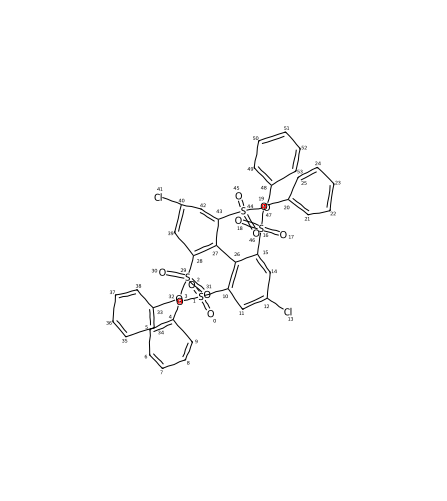 O=S(=O)(Oc1ccccc1)c1cc(Cl)cc(S(=O)(=O)Oc2ccccc2)c1-c1c(S(=O)(=O)Oc2ccccc2)cc(Cl)cc1S(=O)(=O)Oc1ccccc1